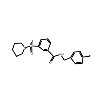 O=C(NCc1ccc(F)cc1)c1cccc(S(=O)(=O)N2CCCCC2)c1